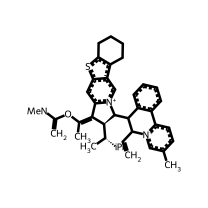 C=CC1C(C2[C@@H]([C@@H](C)C(C)C)/C(=C(\C)OC(=C)NC)c3cc4sc5c(c4c[n+]32)CCCC5)c2ccccc2-c2ccc(C)c[n+]21